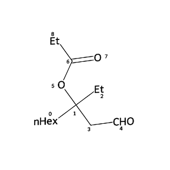 CCCCCCC(CC)(CC=O)OC(=O)CC